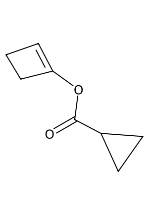 O=C(OC1=CCC1)C1CC1